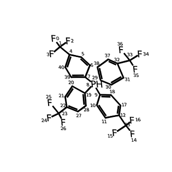 FC(F)(F)c1ccc([PH](c2ccc(C(F)(F)F)cc2)(c2ccc(C(F)(F)F)cc2)c2ccc(C(F)(F)F)cc2)cc1